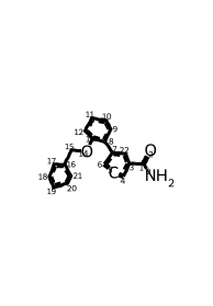 NC(=O)c1cccc(-c2ccccc2OCc2ccccc2)c1